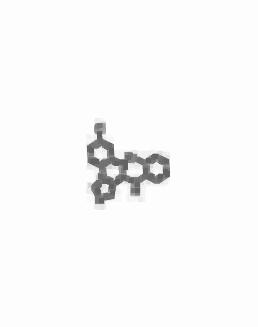 Clc1ccc2c(c1)nc(Nc1ccccc1Br)c1cncn12